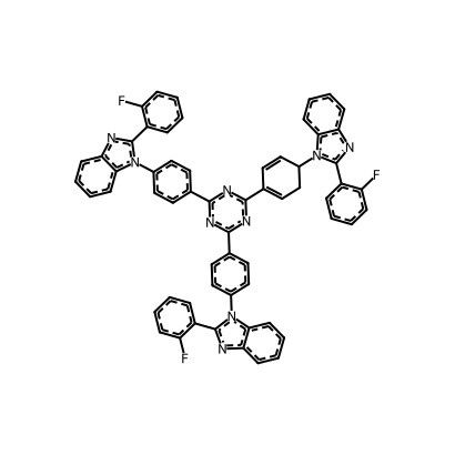 Fc1ccccc1-c1nc2ccccc2n1-c1ccc(-c2nc(C3=CCC(n4c(-c5ccccc5F)nc5ccccc54)C=C3)nc(-c3ccc(-n4c(-c5ccccc5F)nc5ccccc54)cc3)n2)cc1